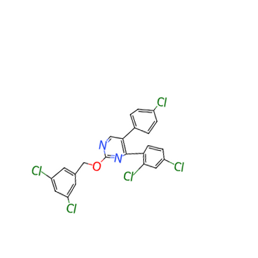 Clc1ccc(-c2cnc(OCc3cc(Cl)cc(Cl)c3)nc2-c2ccc(Cl)cc2Cl)cc1